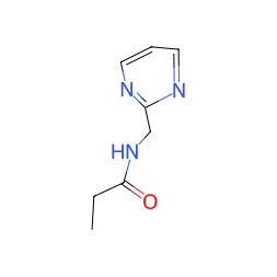 CCC(=O)NCc1ncccn1